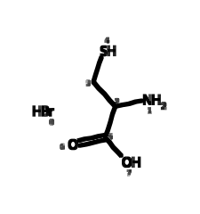 Br.NC(CS)C(=O)O